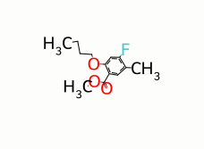 CCCCOc1cc(F)c(C)cc1C(=O)OC